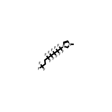 CN1C=CN(C(F)(F)C(F)(F)C(F)(F)C(F)(F)C(F)(F)CCC(F)(F)F)C1